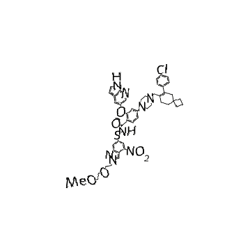 COCCOCCn1cc2c([N+](=O)[O-])cc(SNC(=O)c3ccc(N4CCN(CC5=C(c6ccc(Cl)cc6)CC6(CCC6)CC5)CC4)cc3Oc3cnc4[nH]ccc4c3)cc2n1